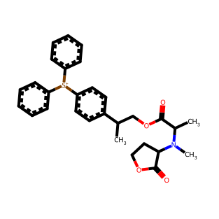 CC(COC(=O)C(C)N(C)C1CCOC1=O)c1ccc([S+](c2ccccc2)c2ccccc2)cc1